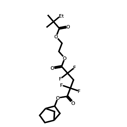 CCC(C)(C)C(=O)OCCOC(=O)C(F)(F)CC(F)(F)C(=O)OC1CC2CCC1C2